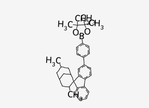 CC1CC2CC(C)C3(c4ccccc4-c4ccc(-c5ccc(B6OC(C)(C)C(C)(C)O6)cc5)cc43)C(C1)C2